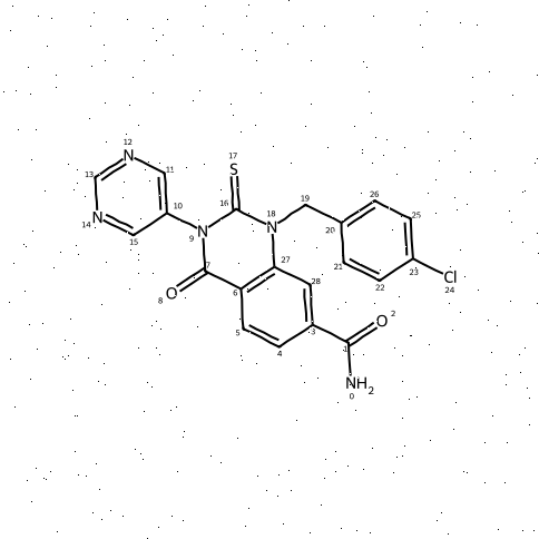 NC(=O)c1ccc2c(=O)n(-c3cncnc3)c(=S)n(Cc3ccc(Cl)cc3)c2c1